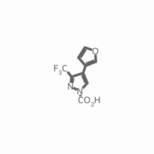 O=C(O)n1cc(-c2ccoc2)c(C(F)(F)F)n1